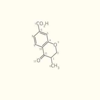 CC1COc2cc(C(=O)O)ccc2C1=O